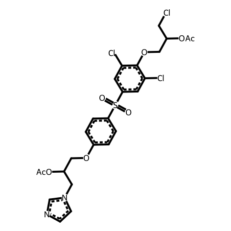 CC(=O)OC(CCl)COc1c(Cl)cc(S(=O)(=O)c2ccc(OCC(Cn3ccnc3)OC(C)=O)cc2)cc1Cl